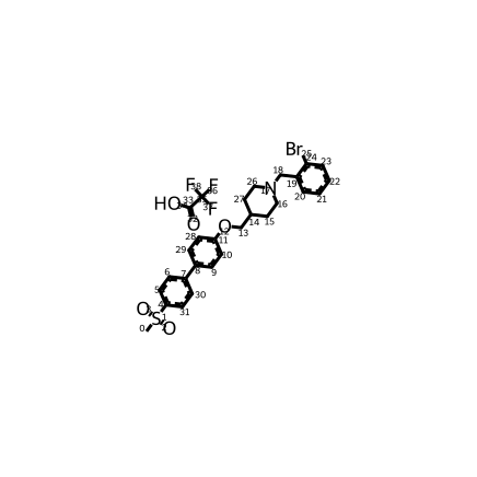 CS(=O)(=O)c1ccc(-c2ccc(OCC3CCN(Cc4ccccc4Br)CC3)cc2)cc1.O=C(O)C(F)(F)F